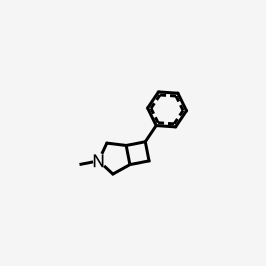 CN1CC2CC(c3ccccc3)C2C1